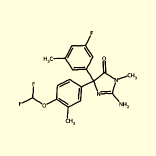 Cc1cc(F)cc(C2(c3ccc(OC(F)F)c(C)c3)N=C(N)N(C)C2=O)c1